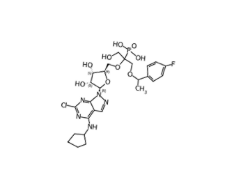 CC(OCC(CO)(OC[C@H]1O[C@@H](n2ncc3c(NC4CCCC4)nc(Cl)nc32)[C@H](O)[C@@H]1O)P(=O)(O)O)c1ccc(F)cc1